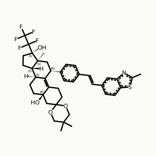 Cc1nc2cc(C=Cc3ccc([C@H]4C[C@@]5(C)[C@@H](CC[C@@]5(O)C(F)(F)C(F)(F)F)[C@@H]5CC[C@@]6(O)CC7(CCC6=C54)OCC(C)(C)CO7)cc3)ccc2s1